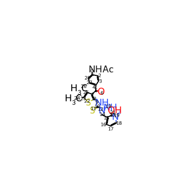 CC(=O)Nc1ccc(C(=O)c2c(NC(=S)N(N)Cc3cccnc3O)sc(C)c2C)cc1